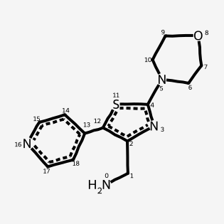 NCc1nc(N2CCOCC2)sc1-c1ccncc1